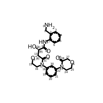 NCc1ccccc1NC(=O)[C@H](O)[C@H]1OCCN(c2cccc(N3CCOCC3=O)c2)C1=O